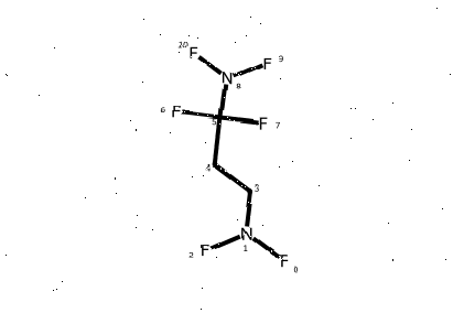 FN(F)CCC(F)(F)N(F)F